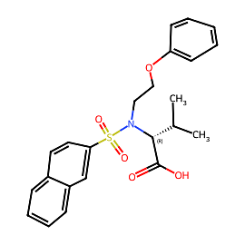 CC(C)[C@H](C(=O)O)N(CCOc1ccccc1)S(=O)(=O)c1ccc2ccccc2c1